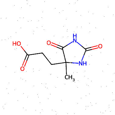 CC1(CCC(=O)O)NC(=O)NC1=O